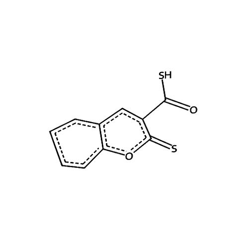 O=C(S)c1cc2ccccc2oc1=S